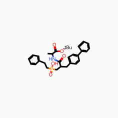 CC(NC(=O)C(Cc1ccc(-c2ccccc2)cc1)CP(=O)(O)CCc1ccccc1)C(=O)OC(C)(C)C